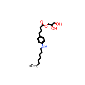 CCCCCCCCCCCCCCCCNc1ccc(CCCC(=O)OCC(O)CO)cc1